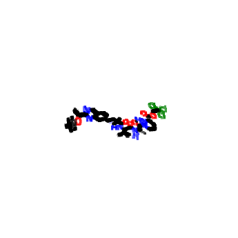 CC(O[Si](C)(C)C(C)(C)C)c1ncc2ccc(/C=C/C(C)(C)C(=O)N[C@H](C(=O)N[C@@H](C)C(=O)N3CCC[C@@H](C(=O)OCC(Cl)(Cl)Cl)N3)C(C)C)cc2n1